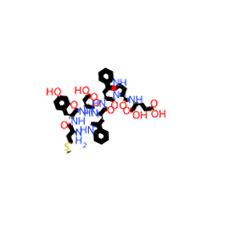 CSCC[C@H](N)C(=O)N[C@@H](Cc1ccc(O)cc1)C(=O)N[C@@H](CC(=O)O)C(=O)N[C@@H](Cc1c[nH]c2ccccc12)C(=O)N[C@@H](Cc1c[nH]c2ccccc12)C(=O)N1CCC[C@H]1C(=O)N[C@@H](CCC(=O)O)C(=O)O